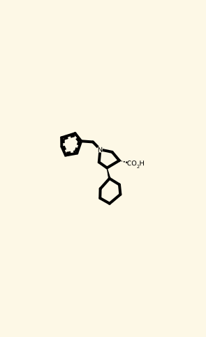 O=C(O)[C@H]1CN(Cc2ccccc2)C[C@@H]1C1CCCCC1